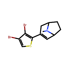 CN1C2C=C(c3scc(Br)c3Br)CC1CC2